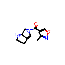 Cc1nocc1C(=O)N1CC2CCNC2C1